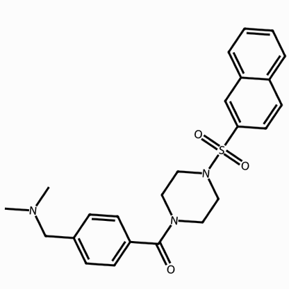 CN(C)Cc1ccc(C(=O)N2CCN(S(=O)(=O)c3ccc4ccccc4c3)CC2)cc1